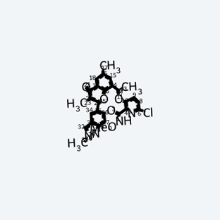 CONC(=O)c1nc(Cl)ccc1O[C@H](C)c1cc(C)cc2c(=O)c(C)c(-c3ccc4nn(C)cc4c3)oc12